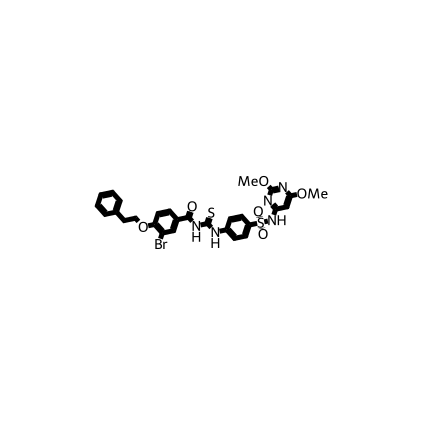 COc1cc(NS(=O)(=O)c2ccc(NC(=S)NC(=O)c3ccc(OCCc4ccccc4)c(Br)c3)cc2)nc(OC)n1